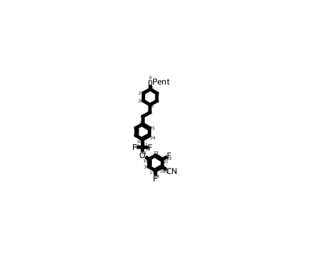 CCCCCC1CCC(CCc2ccc(C(F)(F)Oc3cc(F)c(C#N)c(F)c3)cc2)CC1